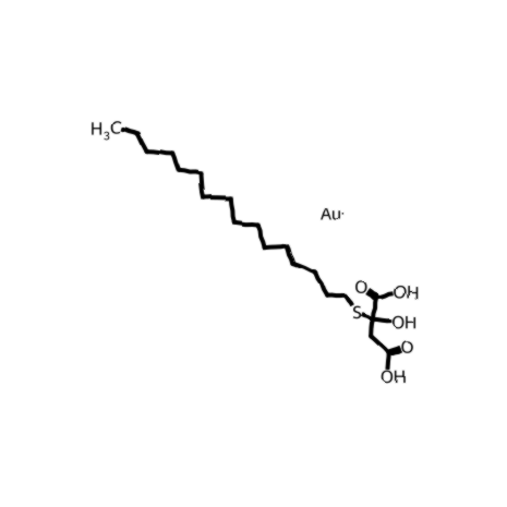 CCCCCCCCCCCCCCCCSC(O)(CC(=O)O)C(=O)O.[Au]